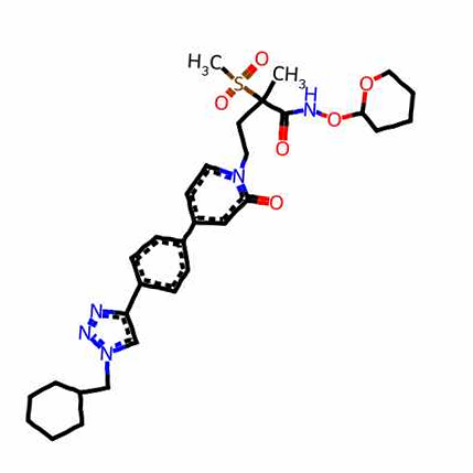 CC(CCn1ccc(-c2ccc(-c3cn(CC4CCCCC4)nn3)cc2)cc1=O)(C(=O)NOC1CCCCO1)S(C)(=O)=O